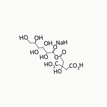 O=C(O)CC(O)(CC(=O)OC(=O)[C@H](O)[C@@H](O)[C@H](O)[C@H](O)CO)C(=O)O.[NaH]